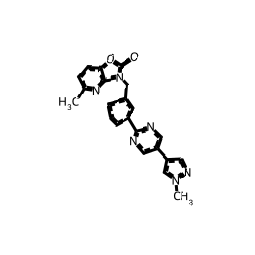 Cc1ccc2oc(=O)n(Cc3cccc(-c4ncc(-c5cnn(C)c5)cn4)c3)c2n1